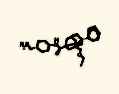 CCOC[C@]12CC3CC(C(=O)N[C@H]4CC[C@@H](CN)CC4)(C1)C[C@@](c1ccccc1)(C3)C2